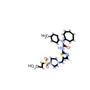 C[C@H]1CC[C@H](N(C(=O)Nc2ncc(CN3CCN(S(=O)(=O)CCC(=O)O)CC3)s2)C2CCCCCC2)CC1